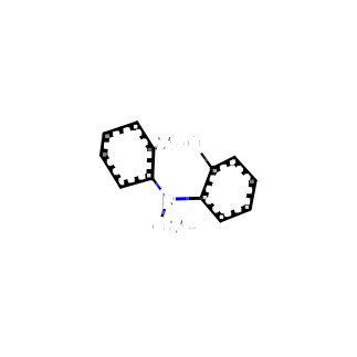 COc1ccccc1N(OC)c1ccccc1